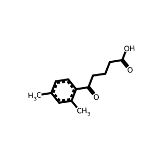 Cc1ccc(C(=O)CCCC(=O)O)c(C)c1